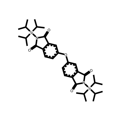 CC(C)[Si](C(C)C)(C(C)C)N1C(=O)c2ccc(Oc3ccc4c(c3)C(=O)N([Si](C(C)C)(C(C)C)C(C)C)C4=O)cc2C1=O